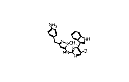 Cn1nc(Cc2ccc(N)cc2)cc1Nc1ncc(Cl)c(-c2c[nH]c3ccccc23)n1